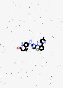 Cc1ccc(-c2ccccc2Nc2nc(Nc3ccc4c(c3)C(C)(C)CCC(=O)N4)ncc2Cl)nc1